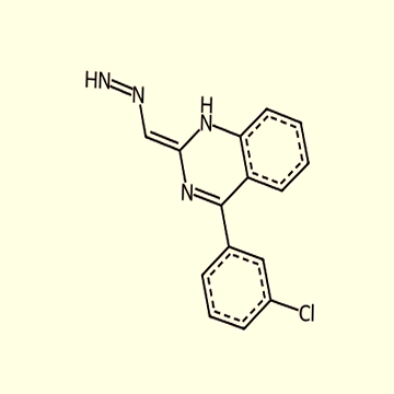 N=N/C=C1/N=C(c2cccc(Cl)c2)c2ccccc2N1